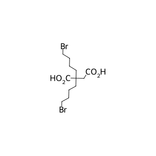 O=C(O)CC(CCCCBr)(CCCCBr)C(=O)O